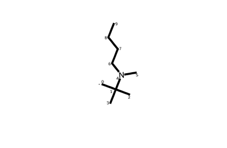 [CH2]C(C)(C)N(C)CCCC